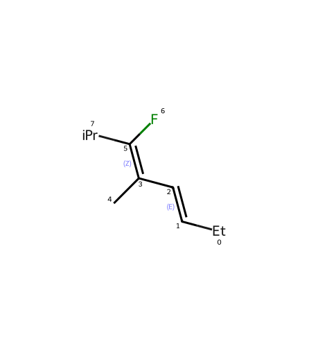 CC/C=C/C(C)=C(\F)C(C)C